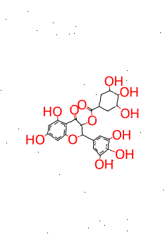 O=C(OC1C(=O)c2c(O)cc(O)cc2OC1c1cc(O)c(O)c(O)c1)C1CC(O)C(O)C(O)C1